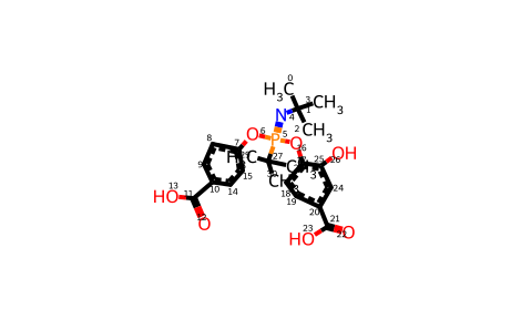 CC(C)(C)N=P(Oc1ccc(C(=O)O)cc1)(Oc1ccc(C(=O)O)cc1O)C(C)(C)C